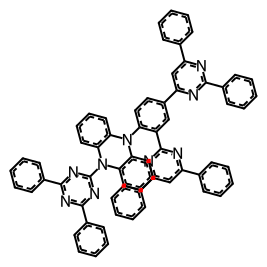 c1ccc(-c2cc(-c3ccc(N4c5ccccc5N(c5nc(-c6ccccc6)nc(-c6ccccc6)n5)c5ccccc54)c(-c4nc(-c5ccccc5)cc(-c5ccccc5)n4)c3)nc(-c3ccccc3)n2)cc1